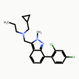 CCCN(Cc1c2cccc(-c3ccc(Cl)cc3Cl)c2nn1C)CC1CC1